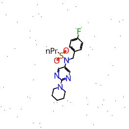 CCCS(=O)(=O)N(Cc1ccc(F)cc1)c1cnc(N2CCCCC2)nc1